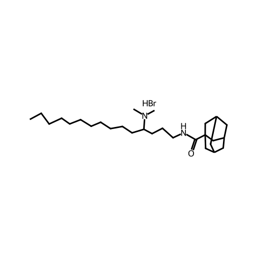 Br.CCCCCCCCCCCC(CCCNC(=O)C12CC3CC(CC(C3)C1)C2)N(C)C